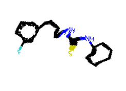 Fc1cccc(CCNC(=S)NC2=CC[CH]C=C2)c1